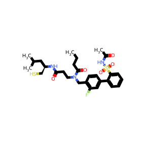 CCCC(=O)N(CCC(=O)N[C@@H](CS)CC(C)C)Cc1ccc(-c2ccccc2S(=O)(=O)NC(C)=O)cc1F